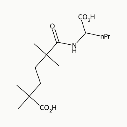 CCCC(NC(=O)C(C)(C)CCC(C)(C)C(=O)O)C(=O)O